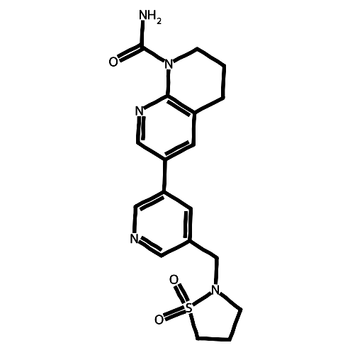 NC(=O)N1CCCc2cc(-c3cncc(CN4CCCS4(=O)=O)c3)cnc21